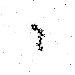 O=C(NCCCC(=O)N1CCC1)c1cc(-c2ccc(F)cc2)on1